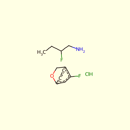 CCC(F)CN.Cl.Fc1cc2ccc1CO2